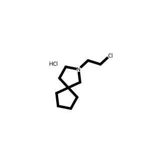 Cl.ClCCN1CCC2(CCCC2)C1